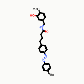 CCCCc1ccc(N=Nc2ccc(CCCC(=O)NCc3ccc(OC)c(O)c3)cc2)cc1